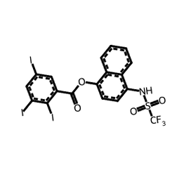 O=C(Oc1ccc(NS(=O)(=O)C(F)(F)F)c2ccccc12)c1cc(I)cc(I)c1I